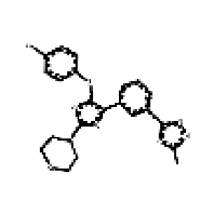 Cc1nnc(-c2cccc(-c3nc(C4CCOCC4)oc3Sc3ccc(Cl)cc3)c2)o1